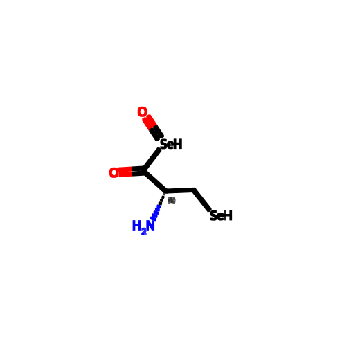 N[C@@H](C[SeH])C(=O)[SeH]=O